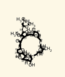 C=C1C[C@@H]2CC[C@]34C[C@@H](O)[C@H](O3)C3C[C@@H](O4)[C@H]4O[C@H](CC[C@@H]4O3)CC(=O)C[C@@H]3[C@@H](OC)[C@@H](C[C@@H](CNC)OC)O[C@H]3C[C@H]3O[C@H](CCC3=C)CC[C@@H]1O2